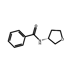 O=C(N[C@@H]1CCOC1)c1ccccc1